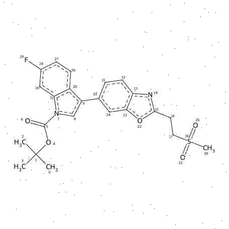 CC(C)(C)OC(=O)n1cc(-c2ccc3nc(CCS(C)(=O)=O)oc3c2)c2ccc(F)cc21